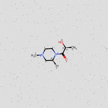 CC[C@H]1CN(C)CCN1C(=O)[C@H](C)O